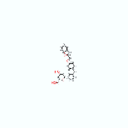 OC[C@@H]1C[C@H](O)C[C@H](c2cccc(Cc3ccc(OCc4cc5ccccc5o4)cc3)c2)O1